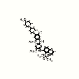 CCc1cc(Nc2ncc(OC)c(Nc3ccc4nccnc4c3N(C)S(C)(=O)=O)n2)c(OC)cc1N1CCC(N2CCN(C)CC2)CC1